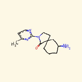 Cc1ccnc(N2CCC3(CCCC(N)C3)C2=O)n1